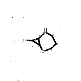 FC1C2NCCCOC12